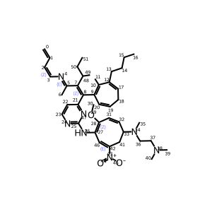 C=C\C=C/N=C(C)/C(=C(/C1=C(C)C(CCCC)=CCC=C1)c1ccnc(NC2=C(\OC)C=CC(N(C)CCN(C)C)C/C([N+](=O)[O-])=C\2)n1)C(C)CC